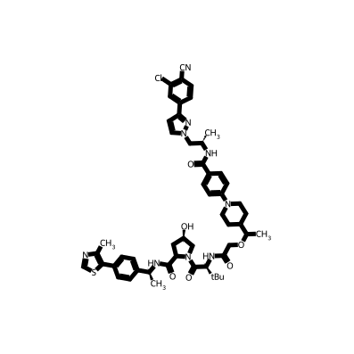 Cc1ncsc1-c1ccc([C@H](C)NC(=O)C2C[C@@H](O)CN2C(=O)[C@@H](NC(=O)COC(C)C2CCN(c3ccc(C(=O)N[C@@H](C)Cn4ccc(-c5ccc(C#N)c(Cl)c5)n4)cc3)CC2)C(C)(C)C)cc1